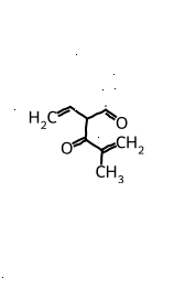 C=CC([C]=O)C(=O)C(=C)C